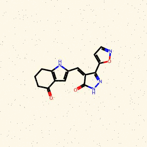 O=C1NN=C(c2ccno2)C1=Cc1cc2c([nH]1)CCCC2=O